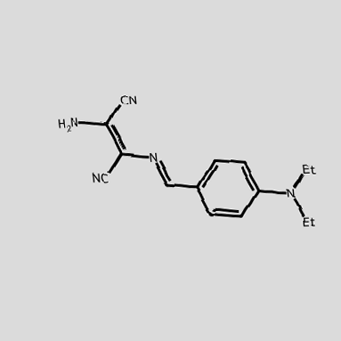 CCN(CC)c1ccc(/C=N/C(C#N)=C(/N)C#N)cc1